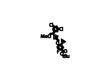 COCC(c1cc(Cl)cc(Cl)c1)N1CC(COc2cc(F)c(C(=O)OC(C)(C)C)cc2C2CC2)C1